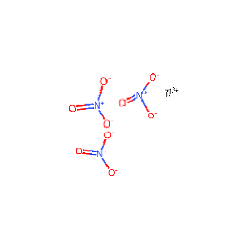 O=[N+]([O-])[O-].O=[N+]([O-])[O-].O=[N+]([O-])[O-].[Tl+3]